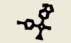 O=C1C(C2CC2)C(c2ccc(Br)nc2)N1c1ccc2[nH]cnc2c1